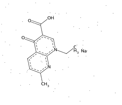 CCn1cc(C(=O)O)c(=O)c2ccc(C)nc21.[Na]